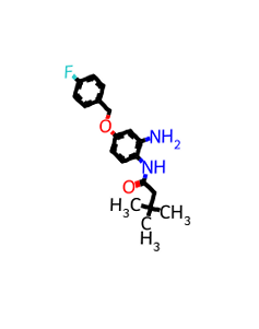 CC(C)(C)CC(=O)Nc1ccc(OCc2ccc(F)cc2)cc1N